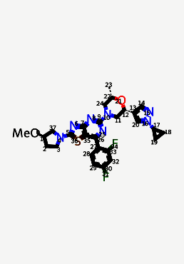 CO[C@@H]1CCN(c2nc3nc(N4C[C@@H](c5cnn(C6CC6)c5)O[C@@H](C)C4)nc(-c4ccc(F)cc4F)c3s2)C1